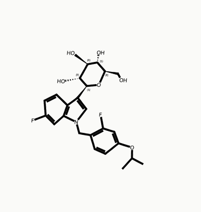 CC(C)Oc1ccc(Cn2cc([C@@H]3O[C@H](CO)[C@@H](O)[C@H](O)[C@H]3O)c3ccc(F)cc32)c(F)c1